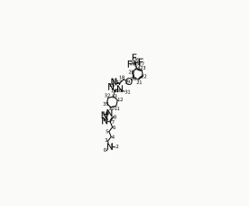 CN(C)CCCCc1cn([C@H]2CC[C@H](c3nnc(COc4cccc(C(F)(F)F)c4)n3C)CC2)nn1